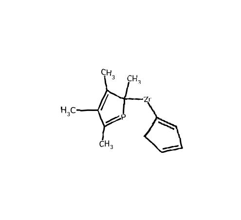 CC1=P[C](C)([Zr][C]2=CC=CC2)C(C)=C1C